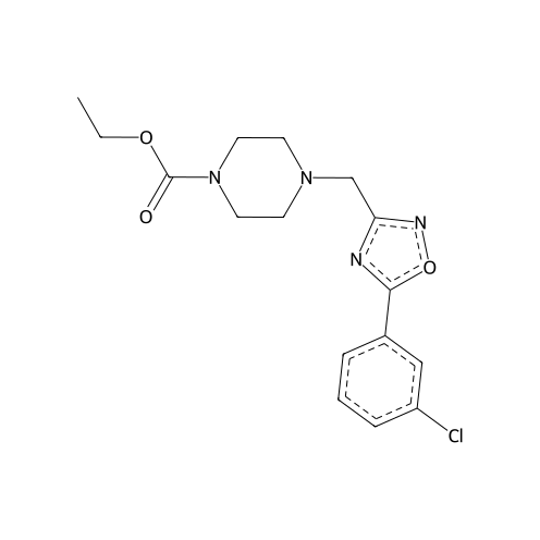 CCOC(=O)N1CCN(Cc2noc(-c3cccc(Cl)c3)n2)CC1